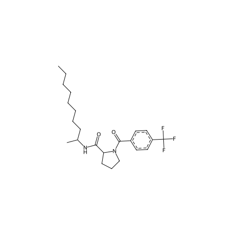 CCCCCCCCC(C)NC(=O)C1CCCN1C(=O)c1ccc(C(F)(F)F)cc1